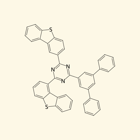 c1ccc(-c2cc(-c3ccccc3)cc(-c3nc(-c4ccc5sc6ccccc6c5c4)nc(-c4cccc5sc6ccccc6c45)n3)c2)cc1